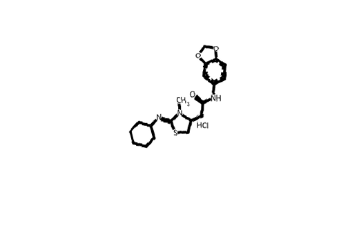 CN1/C(=N/C2CCCCC2)SCC1CC(=O)Nc1ccc2c(c1)OCO2.Cl